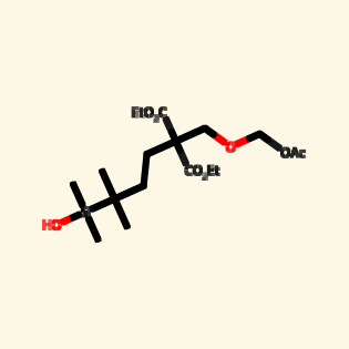 CCOC(=O)C(CCC(C)(C)[Si](C)(C)O)(COCOC(C)=O)C(=O)OCC